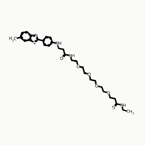 CCNC(=O)CCOCCOCCOCCOCCNC(=O)CCNc1ccc(-c2nc3ccc(C)cc3s2)cc1